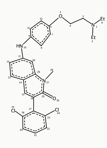 CCN(CC)CCOc1ccc(Nc2ccc3cc(-c4c(Cl)cccc4Cl)c(=O)n(C)c3c2)cc1